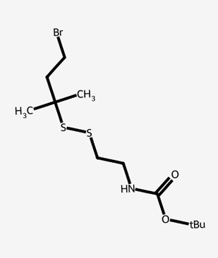 CC(C)(C)OC(=O)NCCSSC(C)(C)CCBr